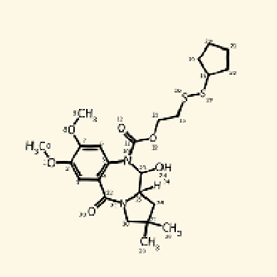 COc1cc2c(cc1OC)N(C(=O)OCCSSC1CCCC1)C(O)[C@@H]1CC(C)(C)CN1C2=O